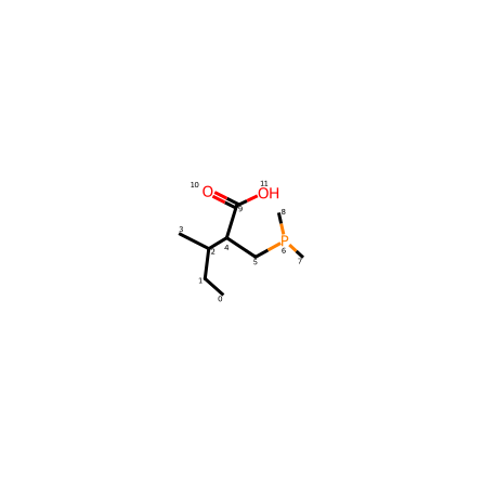 CCC(C)C(CP(C)C)C(=O)O